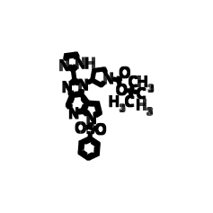 CC(C)(C)OC(=O)N1CCC(n2c(-c3ncc[nH]3)nc3cnc4c(ccn4S(=O)(=O)c4ccccc4)c32)C1